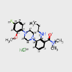 CCCNc1c(C(=O)N(C)C)cccc1N1CCN(c2ccc(F)cc2OC)CC1.Cl